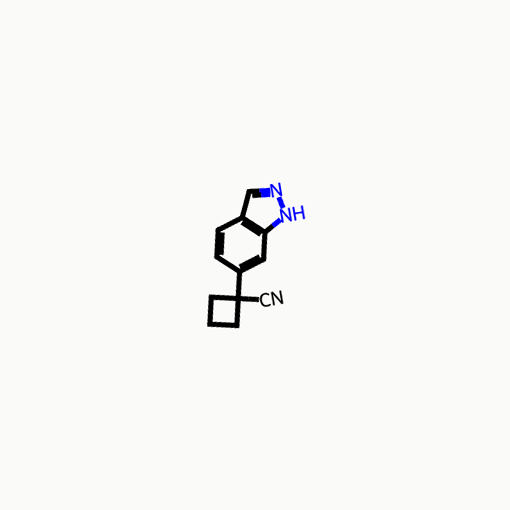 N#CC1(c2ccc3cn[nH]c3c2)CCC1